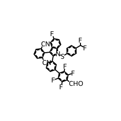 N#Cc1cccc(C#N)c1-c1c(-c2cccc(-c3c(F)c(F)c(C=O)c(F)c3F)c2)n(Sc2ccc(C(F)F)cc2)c2ccc(F)cc12